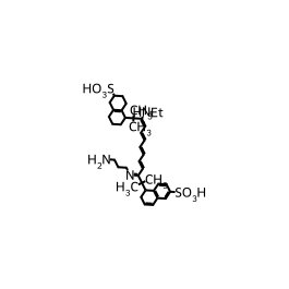 CCN/C(=C/C=C/C=C/C=C/C(=N\CCCN)C(C)(C)C1CC=Cc2cc(S(=O)(=O)O)ccc21)C(C)(C)C1CCCC2=C1CCC(S(=O)(=O)O)C2